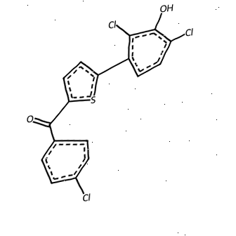 O=C(c1ccc(Cl)cc1)c1ccc(-c2ccc(Cl)c(O)c2Cl)s1